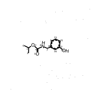 CC(C)OC(=O)NCc1cccc(O)c1